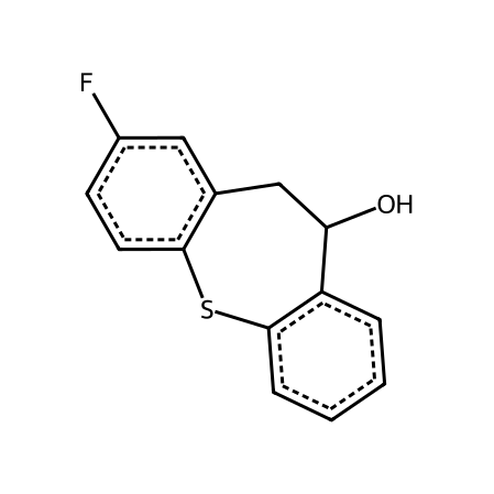 OC1Cc2cc(F)ccc2Sc2ccccc21